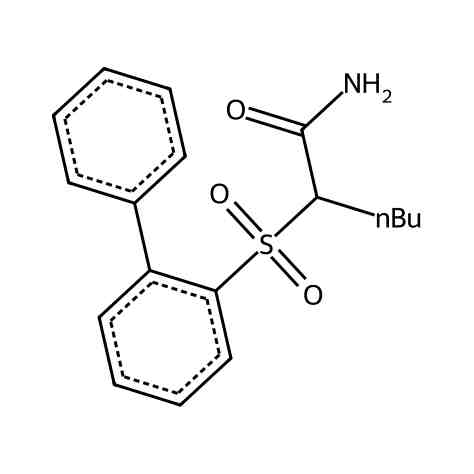 CCCCC(C(N)=O)S(=O)(=O)c1ccccc1-c1ccccc1